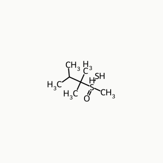 CC(C)C(C)(C)[SH](C)(=O)S